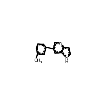 Cc1cccc(-c2cnc3cc[nH]c3c2)c1